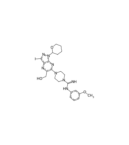 COc1cccc(NC(=N)N2CCN(c3nc4c(nc3CO)c(I)nn4C3CCCCO3)CC2)c1